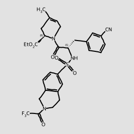 CCOC(=O)[C@H]1CC(C)=CCN1C(=O)[C@H](Cc1cccc(C#N)c1)NS(=O)(=O)c1ccc2c(c1)CCN(C(=O)C(F)(F)F)C2